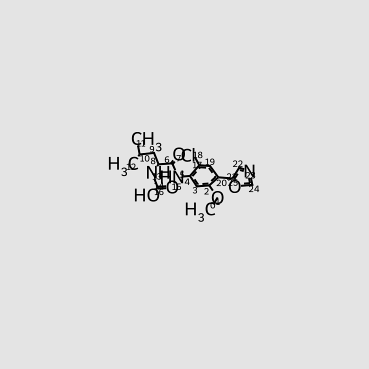 COc1cc(NC(=O)C(CC(C)C)NC(=O)O)c(Cl)cc1-c1cnco1